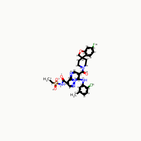 CCS(=O)(=O)NC(=O)c1cnn2c(Nc3cc(C)ccc3Cl)c(C(=O)N3CCC4(CC3)COc3cc(F)ccc34)cnc12